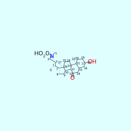 C[C@H](CCN(C)C(=O)O)[C@H]1CCC2C3C(=O)CC4C[C@H](O)CC[C@]4(C)C3CC[C@@]21C